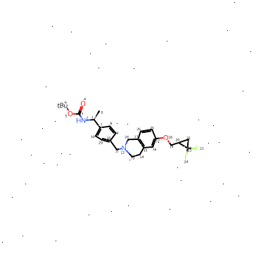 C[C@H](NC(=O)OC(C)(C)C)c1ccc(CN2CCc3cc(OCC4CC4(F)F)ccc3C2)cc1